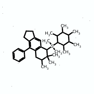 CC1C(C)C(C)C(S(C)(C)C2c3cc4c(c(-c5ccccc5)c3CC(C)C2(C)C)CCC4)C(C)C1C